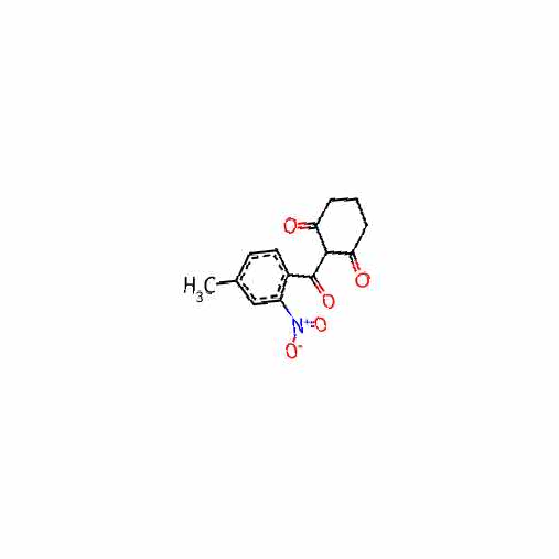 Cc1ccc(C(=O)C2C(=O)CCCC2=O)c([N+](=O)[O-])c1